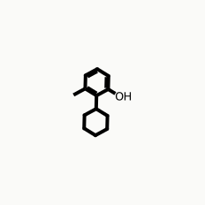 Cc1cccc(O)c1C1CCCCC1